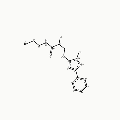 CC(COc1cc(-c2ccccc2)nn1C)C(=O)NCCBr